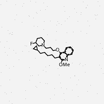 COc1nc2ccccc2c(OCCCN2CCCC(F)C2)c1CCCCCC1CC1